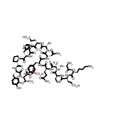 CC(C)C[C@H](NC(=O)[C@H](CCC(=O)O)NC(=O)[C@H](CCCCN)NC(=O)[C@@H](N)C(C)C)C(=O)N[C@@H](C)C(=O)N[C@@H](CCC(N)=O)C(=O)N[C@@H](Cc1ccc(O)cc1)C(=O)N[C@@H](CC(N)=O)C(=O)N[C@H](C(=O)N[C@@H](CCC(=O)O)C(=O)N[C@H](C(=O)N[C@@H](Cc1c[nH]cn1)C(=O)N1CCC[C@H]1C(=O)N[C@@H](Cc1ccc(O)cc1)C(=O)N[C@H](C(=O)N[C@H](C(=O)O)C(C)C)[C@@H](C)O)C(C)C)C(C)C